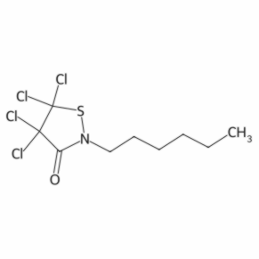 CCCCCCN1SC(Cl)(Cl)C(Cl)(Cl)C1=O